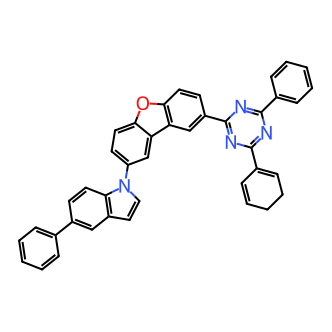 C1=CC(c2nc(-c3ccccc3)nc(-c3ccc4oc5ccc(-n6ccc7cc(-c8ccccc8)ccc76)cc5c4c3)n2)=CCC1